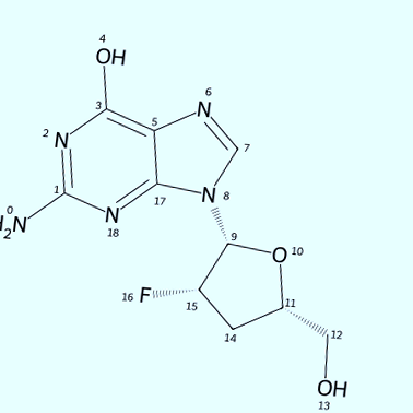 Nc1nc(O)c2ncn([C@@H]3O[C@H](CO)C[C@@H]3F)c2n1